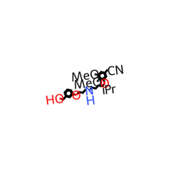 COc1cc(CC#N)cc(OC(CCCNCCCOc2cccc(CO)c2)C(C)C)c1OC